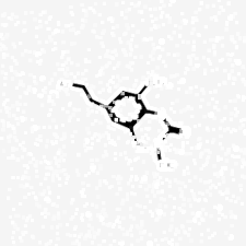 CC(=O)CCc1cc(C(C)(C)C)c(OC(=O)OC(C)(C)C)c(C(C)(C)C)c1